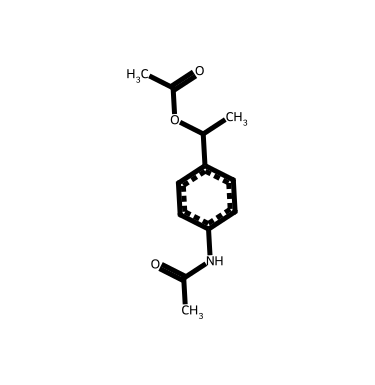 CC(=O)Nc1ccc(C(C)OC(C)=O)cc1